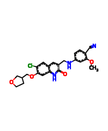 COc1cc(NCc2cc3cc(Cl)c(OCC4CCOC4)cc3[nH]c2=O)ccc1C#N